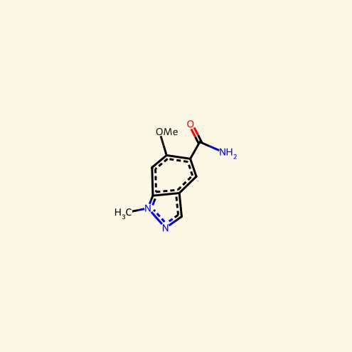 COc1cc2c(cnn2C)cc1C(N)=O